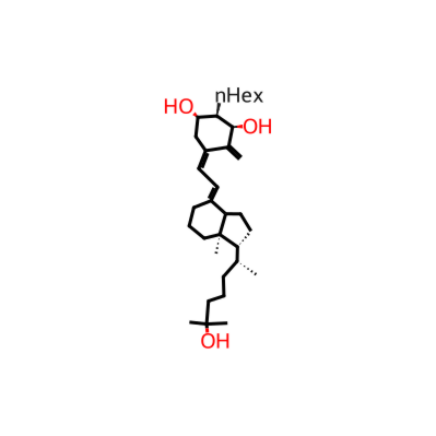 C=C1/C(=C\C=C2CCC[C@@]3(C)C2CC[C@@H]3[C@H](C)CCCC(C)(C)O)C[C@@H](O)[C@@H](CCCCCC)[C@H]1O